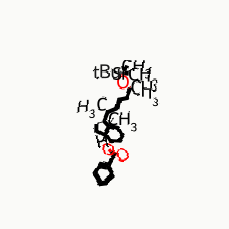 C[C@H](C/C=C/[C@@H](C)[C@H]1CC[C@H]2[C@@H](OC(=O)c3ccccc3)CCC[C@]12C)O[Si](C)(C)C(C)(C)C